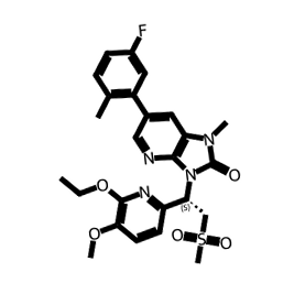 CCOc1nc([C@@H](CS(C)(=O)=O)n2c(=O)n(C)c3cc(-c4cc(F)ccc4C)cnc32)ccc1OC